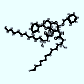 CCCCCCCCCCC[C@@H](C)CC(=O)NC1[C@@H](OCc2ccccc2)OC2COC(c3ccccc3)O[C@H]2[C@@H]1OC(=O)C[C@H](C)CCCCCCCCCCC